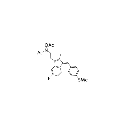 CSc1ccc(/C=C2/C(C)=C(CCN(OC(C)=O)C(C)=O)c3cc(F)ccc32)cc1